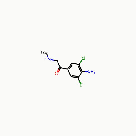 CC(C)(C)NCC(=O)c1cc(Cl)c(N)c(Cl)c1